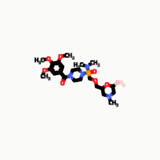 BC1CN(C)CC(COCP(=O)(N(C)C)N2CCN(C(=O)c3cc(OC)c(OC)c(OC)c3)CC2)O1